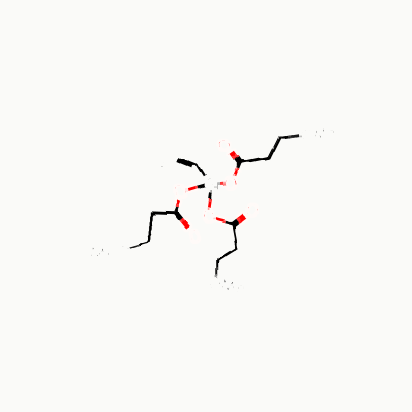 C=C[Si](OC(=O)CCOC)(OC(=O)CCOC)OC(=O)CCOC